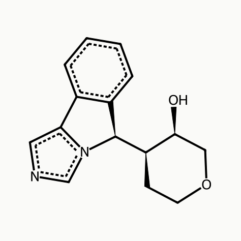 O[C@H]1COCC[C@H]1[C@@H]1c2ccccc2-c2cncn21